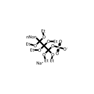 CCCCCCCCCC(OCC)(OCC)C(OCC)(OCC)C(OCC)(OCC)OS(=O)(=O)[O-].[Na+]